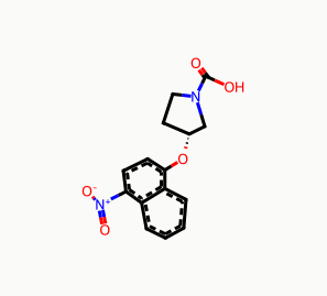 O=C(O)N1CC[C@@H](Oc2ccc([N+](=O)[O-])c3ccccc23)C1